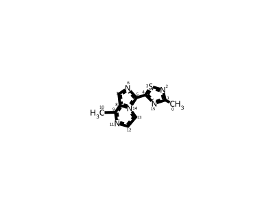 Cc1nsc(-c2ncc3c(C)nccn23)n1